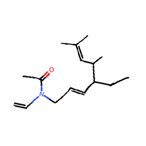 C=CN(C/C=C/C(CC)C(C)C=C(C)C)C(C)=O